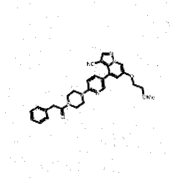 COCCOc1cc(-c2ccc(N3CCN(C(=O)Cc4ccccc4)CC3)nc2)c2c(C#N)cnn2c1